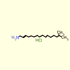 CC(C)CCCCCCCCCCCC=CCN.Cl